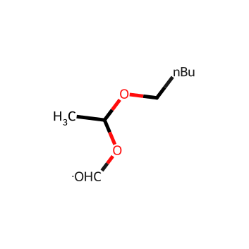 CCCCCOC(C)O[C]=O